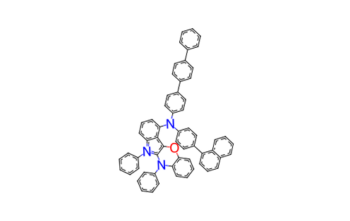 c1ccc(-c2ccc(-c3ccc(N(c4ccc(-c5cccc6ccccc56)cc4)c4cccc5c4c4c(n5-c5ccccc5)N(c5ccccc5)c5ccccc5O4)cc3)cc2)cc1